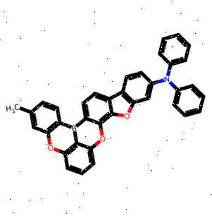 Cc1ccc2c(c1)Oc1cccc3c1B2c1ccc2c(oc4cc(N(c5ccccc5)c5ccccc5)ccc42)c1O3